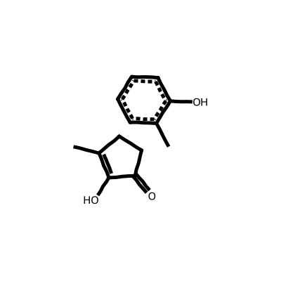 CC1=C(O)C(=O)CC1.Cc1ccccc1O